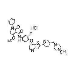 CCOc1ccn(-c2ccccc2)c(=O)c1C(=O)Nc1ccc(Oc2ccnc3cc(-c4ccc(CN5CCN(C)CC5)cn4)sc23)c(F)c1.Cl